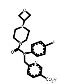 O=C(O)c1ccc(CN(C(=O)N2CCN(C3COC3)CC2)c2ccc(F)cc2)nc1